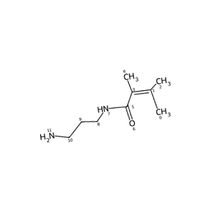 CC(C)=C(C)C(=O)NCCCN